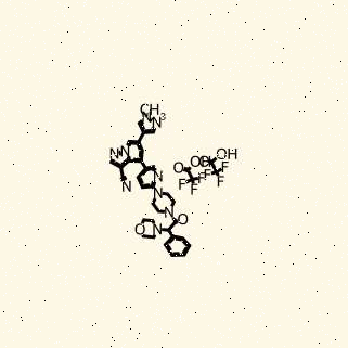 Cn1cc(-c2cc(-c3ccc(N4CCN(C(=O)C(c5ccccc5)N5CCOCC5)CC4)nc3)c3c(C#N)cnn3c2)cn1.O=C(O)C(F)(F)F.O=C(O)C(F)(F)F